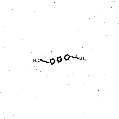 CCCCC[C@H]1CC[C@H](c2ccc([C@H]3CC[C@H](CCCCC)CC3)cc2)CC1